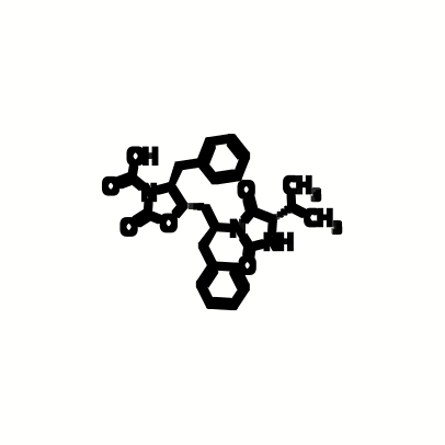 CC(C)[C@@H]1NC(=O)N([C@@H](Cc2ccccc2)C[C@@H]2OC(=O)N(C(=O)O)[C@H]2Cc2ccccc2)C1=O